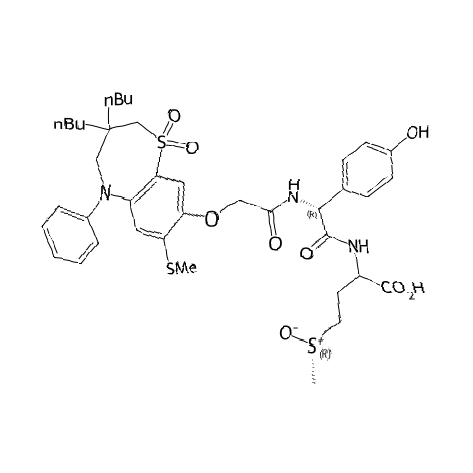 CCCCC1(CCCC)CN(c2ccccc2)c2cc(SC)c(OCC(=O)N[C@@H](C(=O)NC(CC[S@+](C)[O-])C(=O)O)c3ccc(O)cc3)cc2S(=O)(=O)C1